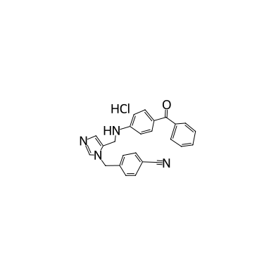 Cl.N#Cc1ccc(Cn2cncc2CNc2ccc(C(=O)c3ccccc3)cc2)cc1